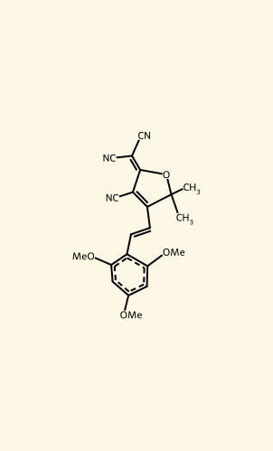 COc1cc(OC)c(/C=C/C2=C(C#N)C(=C(C#N)C#N)OC2(C)C)c(OC)c1